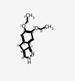 CCOc1cc2c(cc1OCC)-c1n[nH][c]c1C2